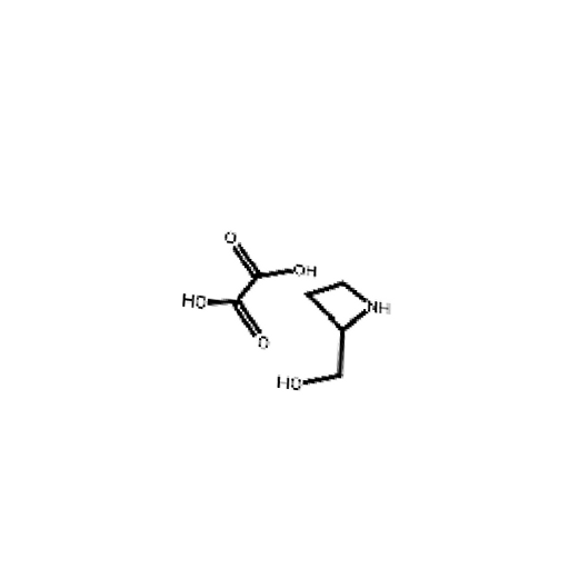 O=C(O)C(=O)O.OCC1CCN1